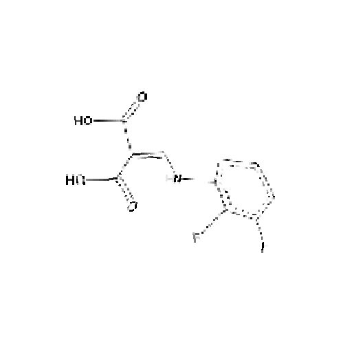 O=C(O)C(=CNc1cccc(F)c1F)C(=O)O